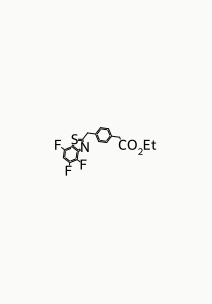 CCOC(=O)Cc1ccc(Cc2nc3c(F)c(F)cc(F)c3s2)cc1